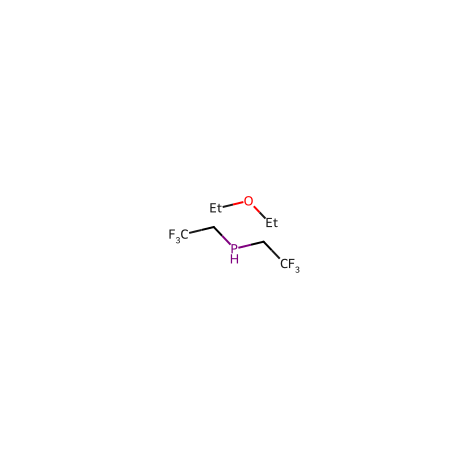 CCOCC.FC(F)(F)CPCC(F)(F)F